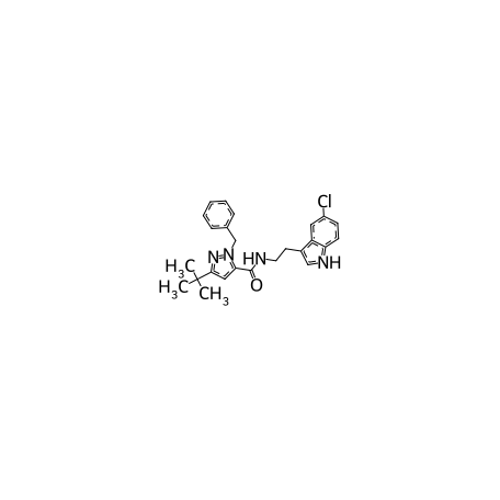 CC(C)(C)c1cc(C(=O)NCCc2c[nH]c3ccc(Cl)cc23)n(Cc2ccccc2)n1